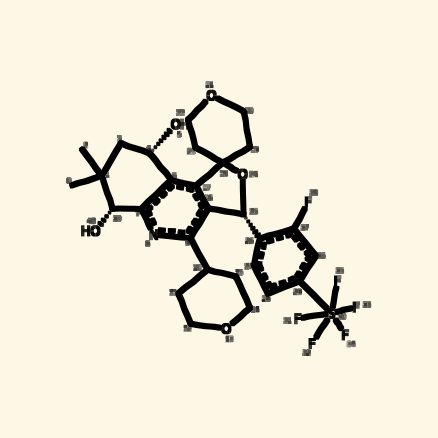 CC1(C)C[C@H](O)c2c(nc(C3CCOCC3)c3c2C2(CCOCC2)O[C@@H]3c2ccc(S(F)(F)(F)(F)F)cc2F)[C@@H]1O